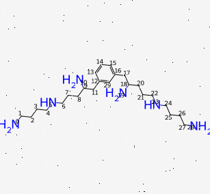 NCCCCNCCCC(N)Cc1cccc(CC(N)CCCNCCCCN)c1